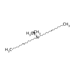 CCCCCCCCC=CCCCCCCCCN(CCCCCCCCC=CCCCCCCCC)CCN(C)C